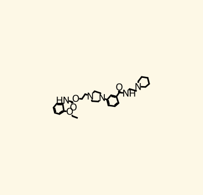 CCOc1ccccc1NC(=O)OCCN1CCN(c2cccc(C(=O)NCCN3CCCCC3)c2)CC1